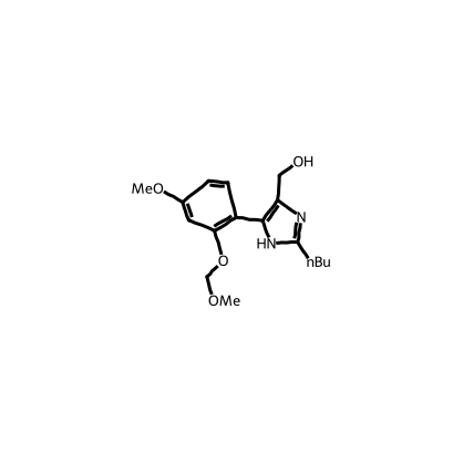 CCCCc1nc(CO)c(-c2ccc(OC)cc2OCOC)[nH]1